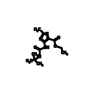 CCOC(=O)c1nc(C)sc1NC(=O)OC(C)(C)C